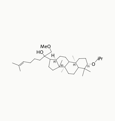 COCC(O)(CCCC=C(C)C)C1CCC2(C)[C@@H]1CCC1[C@@]3(C)CC[C@H](OC(C)C)C(C)(C)C3CC[C@]12C